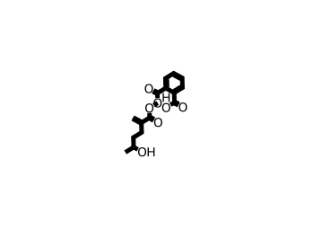 C=C(CCC(C)O)C(=O)OOC(=O)c1ccccc1C(=O)O